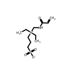 C=CC(=O)NC[N+](CC)(CC)CCCS(=O)(=O)[O-]